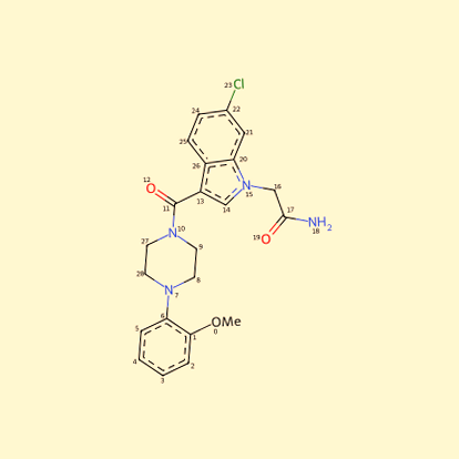 COc1ccccc1N1CCN(C(=O)c2cn(CC(N)=O)c3cc(Cl)ccc23)CC1